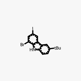 CC(C)(C)c1ccc2[nH]c3c(Br)cc(I)cc3c2c1